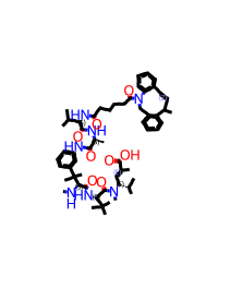 CN[C@H](C(=O)N[C@H](C(=O)N(C)[C@H](/C=C(\C)C(=O)O)C(C)C)C(C)(C)C)C(C)(C)c1cccc(NC(=O)[C@H](C)NC(=O)[C@@H](NC(=O)CCCCC(=O)N2Cc3ccccc3C(C)/C=C\c3ccccc32)C(C)C)c1